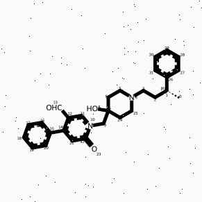 C[C@H](CCN1CCC(O)(Cn2cc(C=O)c(-c3ccccc3)cc2=O)CC1)c1ccccc1